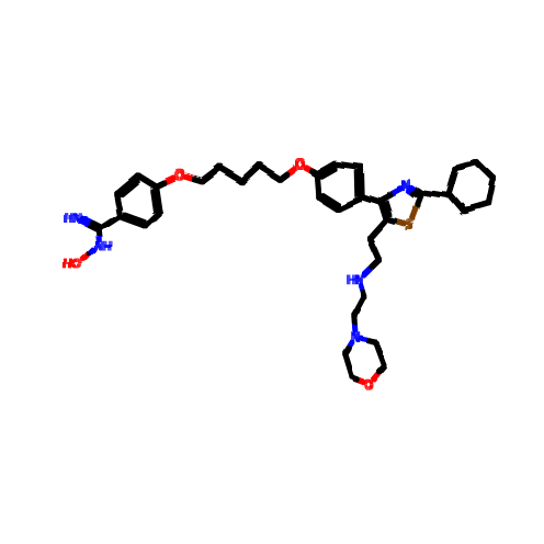 N=C(NO)c1ccc(OCCCCCOc2ccc(-c3nc(C4CCCCC4)sc3CCNCCN3CCOCC3)cc2)cc1